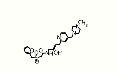 CN1CCN(Cc2ccnc(CC=C(O)CNC(=O)CS(=O)(=O)Cc3ccco3)c2)CC1